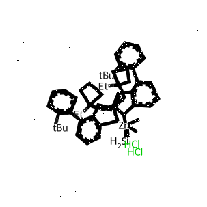 CCC1(CC2=Cc3c(-c4ccccc4C(C)(C)C)cccc3[CH]2[Zr]([CH3])([CH3])(=[SiH2])[CH]2C(CC3(CC)CCC3)=Cc3c(-c4ccccc4C(C)(C)C)cccc32)CCC1.Cl.Cl